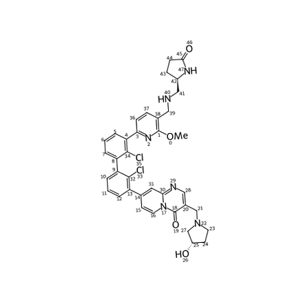 COc1nc(-c2cccc(-c3cccc(-c4ccn5c(=O)c(CN6CC[C@H](O)C6)cnc5c4)c3Cl)c2Cl)ccc1CNC[C@H]1CCC(=O)N1